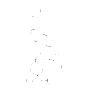 CC1(C)CCc2sc(-c3cccc4c(CNN)cccc34)c(C(=O)O)c2C1